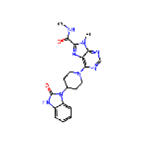 CCn1c(C(=O)NC(C)C)nc2c(N3CCC(n4c(=O)[nH]c5ccccc54)CC3)ncnc21